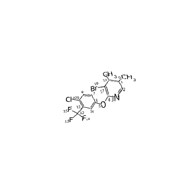 Cc1cnc(Oc2ccc(Cl)c(C(F)(F)F)c2)c(Br)c1C